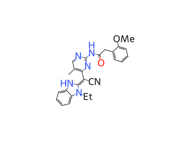 CCN1/C(=C(\C#N)c2nc(NC(=O)Cc3ccccc3OC)ncc2C)Nc2ccccc21